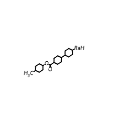 CC1CCC(OC(=O)C2CCC(C3CC[CH]([RaH])CC3)CC2)CC1